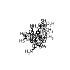 CC(C)C[C@H](NC(=O)[C@H](CCCCN)NC(=O)[C@@H]1CCCN1C(=O)[C@H](C)NC(=O)[C@H](CCCCN)NC(=O)[C@H](CO)NC(=O)[C@@H](N)CS)C(=O)N1CCC[C@H]1C(=O)N[C@@H](C)C(=O)N[C@@H](C)C(=O)N[C@@H](Cc1ccc(O)cc1)C(=O)N[C@@H](CS)C(=O)O